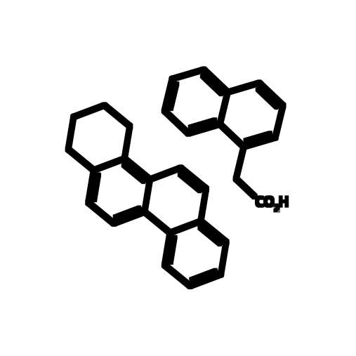 O=C(O)Cc1cccc2ccccc12.c1ccc2c(c1)ccc1c3c(ccc12)CCCC3